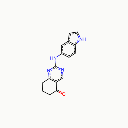 O=C1CCCc2nc(Nc3ccc4[nH]ccc4c3)ncc21